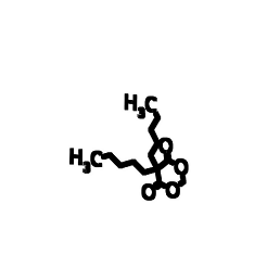 CCCCCC1(CCCCC)C(=O)OCOC1=O